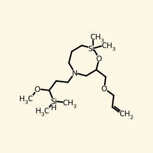 C=CCOCC1CN(CCC(OC)[SiH](C)C)CCC[Si](C)(C)O1